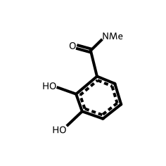 [CH2]NC(=O)c1cccc(O)c1O